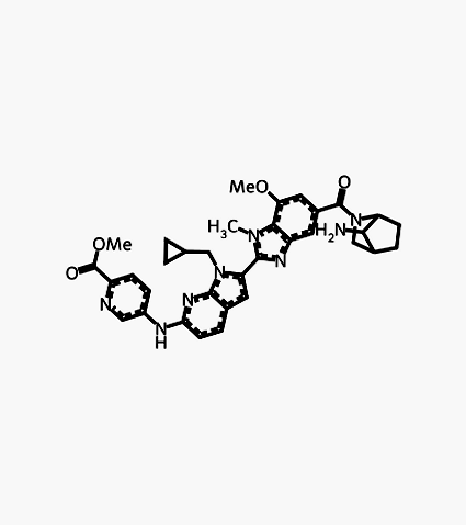 COC(=O)c1ccc(Nc2ccc3cc(-c4nc5cc(C(=O)N6CC7CCC6C7N)cc(OC)c5n4C)n(CC4CC4)c3n2)cn1